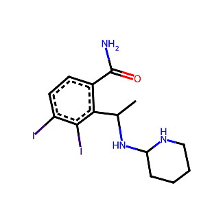 CC(NC1CCCCN1)c1c(C(N)=O)ccc(I)c1I